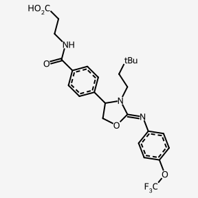 CC(C)(C)CCN1/C(=N/c2ccc(OC(F)(F)F)cc2)OCC1c1ccc(C(=O)NCCC(=O)O)cc1